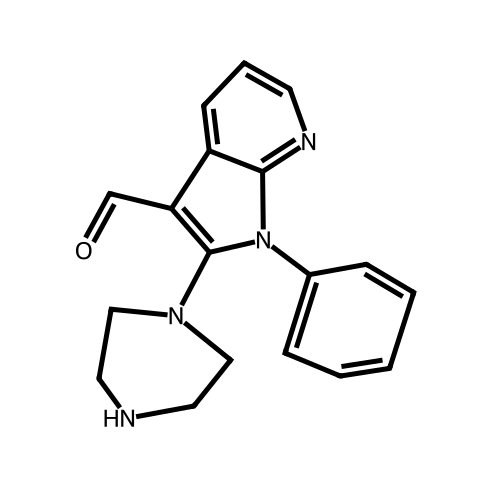 O=Cc1c(N2CCNCC2)n(-c2ccccc2)c2ncccc12